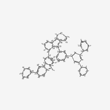 C1=C(c2ccccc2)C=C(c2ccccc2)CC1c1cccc(-n2c3ccccc3c3cccc(-c4ccc5sc6ccc(-c7ccccc7)cc6c5c4)c32)c1